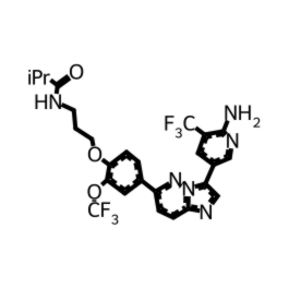 CC(C)C(=O)NCCCOc1ccc(-c2ccc3ncc(-c4cnc(N)c(C(F)(F)F)c4)n3n2)cc1OC(F)(F)F